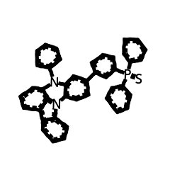 S=P(c1ccccc1)(c1ccccc1)c1cccc(-c2ccc3c(c2)N(c2ccccc2)c2cccc4c5ccccc5n-3c24)c1